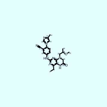 CCc1nc(Nc2ccc(-n3cnc(C)c3)c(C#N)c2)nc2c1NC(=O)CN2CC(C)OC